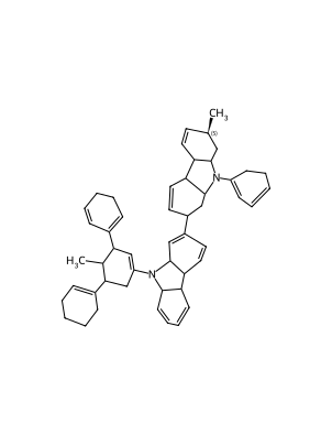 CC1C(C2=CCCC=C2)C=C(N2C3C=CC=CC3C3C=CC(C4C=CC5C6C=C[C@@H](C)CC6N(C6=CC=CCC6)C5C4)=CC32)CC1C1=CCCCC1